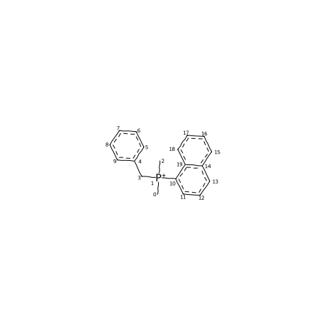 C[P+](C)(Cc1ccccc1)c1cccc2ccccc12